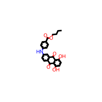 CCCCOC(=O)c1ccc(Nc2ccc3c(c2)C(=O)c2c(O)ccc(O)c2C3=O)cc1